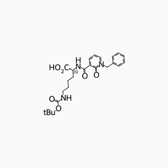 CC(C)(C)OC(=O)NCCCC[C@H](NC(=O)c1cccn(Cc2ccccc2)c1=O)C(=O)O